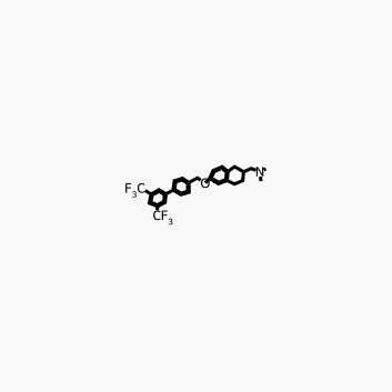 CN(C)CC1CCc2cc(OCc3ccc(-c4cc(C(F)(F)F)cc(C(F)(F)F)c4)cc3)ccc2C1